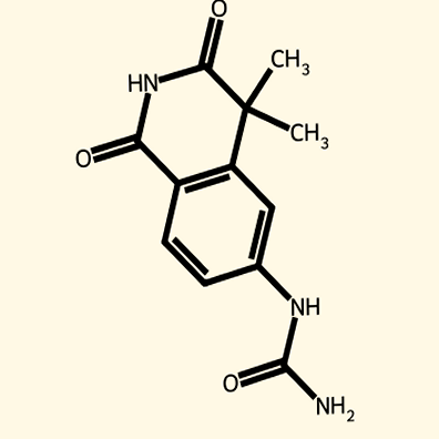 CC1(C)C(=O)NC(=O)c2ccc(NC(N)=O)cc21